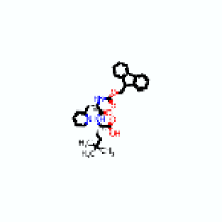 CC(C)(C)CC[C@H](NC(=O)[C@H](Cc1ccccn1)NC(=O)OCC1c2ccccc2-c2ccccc21)C(=O)O